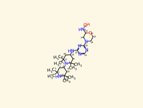 CC1(C)CC(N2C(C)(C)CC(Nc3ncnc(N4CCOC(NO)C4)n3)CC2(C)C)CC(C)(C)N1